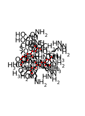 CSCC[C@H](NC(=O)[C@H](CCC(N)=O)NC(=O)[C@H](CCCCN)NC(=O)[C@H](CCCNC(=N)N)NC(=O)[C@H](CC(C)C)NC(=O)[C@H](CCCNC(=N)N)NC(=O)[C@@H](N)[C@@H](C)O)C(=O)N[C@@H](C)C(=O)N[C@H](C(=O)N[C@@H](CCCCN)C(=O)N[C@@H](CCCCN)C(=O)N[C@@H](Cc1ccc(O)cc1)C(=O)N[C@@H](CC(C)C)C(=O)N[C@@H](CC(N)=O)C(=O)N[C@@H](CO)C(=O)O)C(C)C